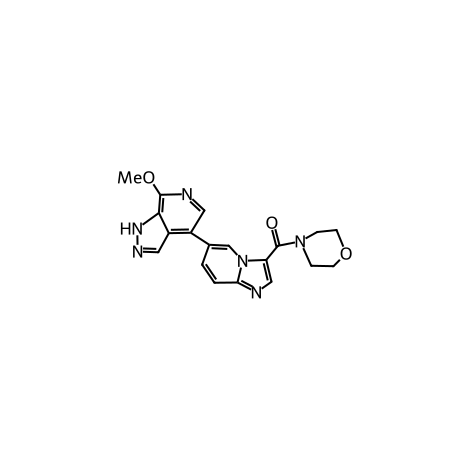 COc1ncc(-c2ccc3ncc(C(=O)N4CCOCC4)n3c2)c2cn[nH]c12